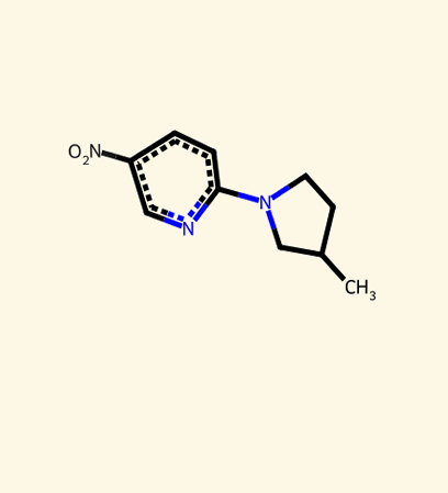 CC1CCN(c2ccc([N+](=O)[O-])cn2)C1